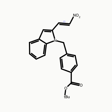 CC(C)(C)OC(=O)c1ccc(Cn2c(/C=C/[N+](=O)[O-])cc3ccccc32)cc1